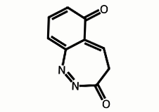 O=C1CC=C2C(=O)C=CC=C2N=N1